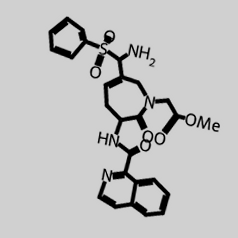 COC(=O)CN1CC(C(N)S(=O)(=O)c2ccccc2)=CCC(NC(=O)c2nccc3ccccc23)C1=O